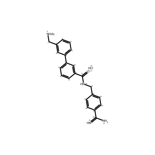 CC(=O)NCc1cccc(-c2cccc(C(=O)NCc3ccc(C(=N)N)cc3)c2)c1.Cl